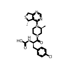 C[C@@H]1SCc2ncnc(N3CCN(C(=O)[C@@H](Cc4ccc(Cl)cc4)NC(=O)O)C[C@@H]3C)c21